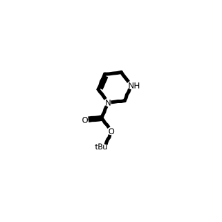 CC(C)(C)OC(=O)N1C=CCNC1